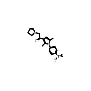 Cc1cc(C(=O)CN2CCCC2)c(C)n1-c1ccc([N+](=O)[O-])cc1